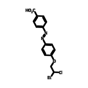 CCC(Cl)COc1ccc(/N=N/c2ccc(C(=O)O)cc2)cc1